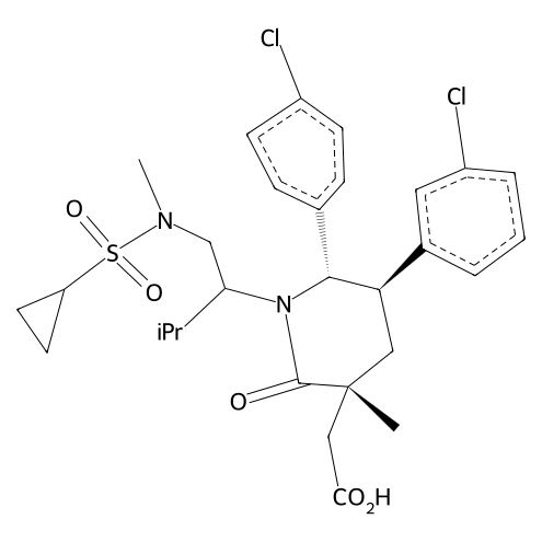 CC(C)C(CN(C)S(=O)(=O)C1CC1)N1C(=O)[C@@](C)(CC(=O)O)C[C@H](c2cccc(Cl)c2)[C@H]1c1ccc(Cl)cc1